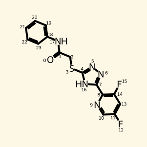 O=C(CSc1nnc(-c2ncc(F)cc2F)[nH]1)Nc1ccccc1